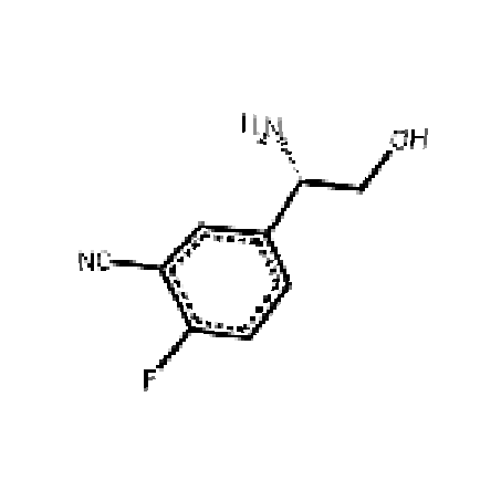 N#Cc1cc([C@H](N)CO)ccc1F